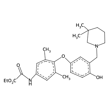 CCOC(=O)C(=O)Nc1cc(C)c(Oc2ccc(O)c(CN3CCCC(C)(C)C3)c2)c(C)c1